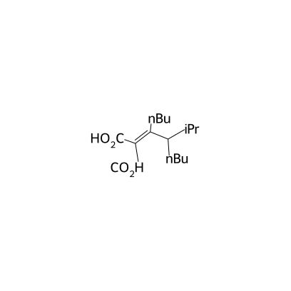 CCCCC(=C(C(=O)O)C(=O)O)C(CCCC)C(C)C